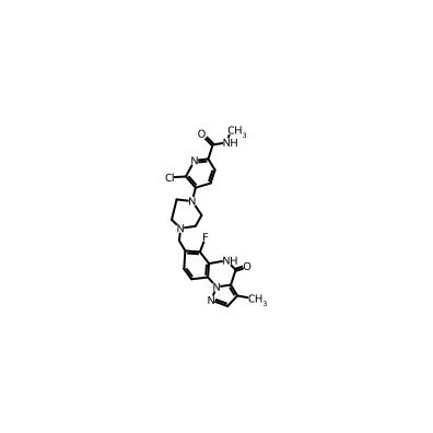 CNC(=O)c1ccc(N2CCN(Cc3ccc4c([nH]c(=O)c5c(C)cnn54)c3F)CC2)c(Cl)n1